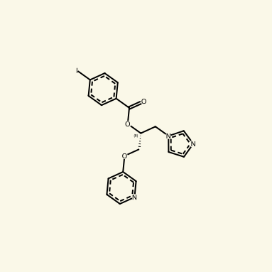 O=C(O[C@@H](COc1cccnc1)Cn1ccnc1)c1ccc(I)cc1